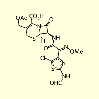 CON=C(C(=O)N[C@@H]1C(=O)N2C(C(=O)O)=C(COC(C)=O)CS[C@H]12)c1nc(NC=O)sc1Cl